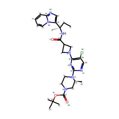 CC[C@@](C)(NC(=O)C1CN(c2nc(N3CCN(C(=O)OC(C)(C)C)C[C@@H]3C)ncc2Cl)C1)c1cnc2ccccn12